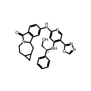 O=C1c2ccc(Nc3cc(N[C@H](CO)c4ccccc4)c(-c4nnco4)cn3)cc2C2CC3CC3CCN12